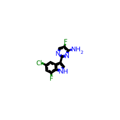 Nc1nc(-c2c[nH]c3c(F)cc(Cl)cc23)ncc1F